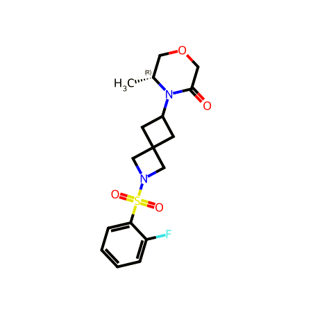 C[C@@H]1COCC(=O)N1C1CC2(C1)CN(S(=O)(=O)c1ccccc1F)C2